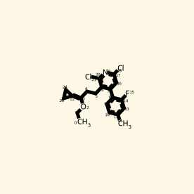 CCOC(CCc1c(-c2ccc(C)cc2F)cc(Cl)nc1Cl)=C1CC1